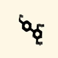 CCCCCCCc1cnc(C(=O)O)nc1-c1ccc(C[C@@H](C)CC)cc1